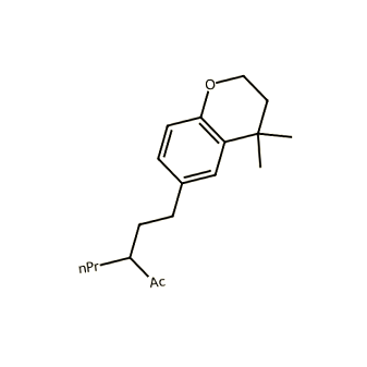 CCCC(CCc1ccc2c(c1)C(C)(C)CCO2)C(C)=O